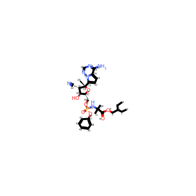 CCC(CC)COC(=O)C(C)(C)NP(=O)(OC[C@H]1O[C@@](C)(c2ccc3c(N)ncnn23)[C@@H](C#N)[C@@H]1O)Oc1ccccc1